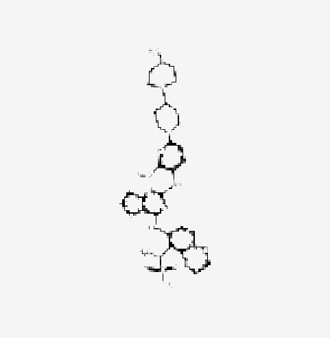 COc1nc(N2CCC(N3CCN(C)CC3)CC2)ccc1Nc1nc(Nc2ccc3nccnc3c2N(C)S(C)(=O)=O)c2sccc2n1